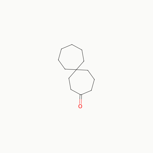 O=C1CCCC2(CCCCCC2)CC1